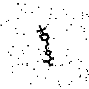 O=C(O)N[C@H]1C[C@@H](COc2ccc(C(F)(F)F)nc2)C1